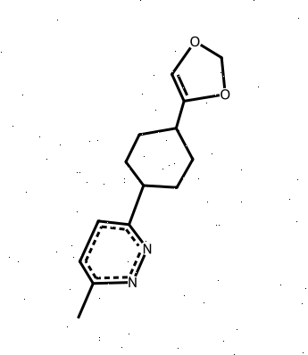 Cc1ccc(C2CCC(C3=COCO3)CC2)nn1